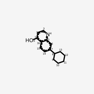 Oc1ccnc2cc(C3CCCCC3)ccc12